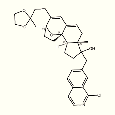 C[C@]12CC=C3C=C4CCC5(C[C@]46CC[C@]3(O6)[C@@H]1CCC2(O)Cc1ccc2ccnc(Cl)c2c1)OCCO5